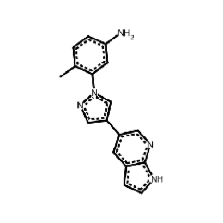 Cc1ccc(N)cc1-n1cc(-c2cnc3[nH]ccc3c2)cn1